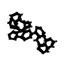 c1ccc2c(c1)-c1ccc(-c3cccc4c3Oc3cccc5cccc-4c35)cc1C21c2ccccc2-c2cccc3cccc1c23